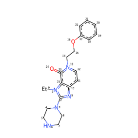 CCn1c(N2CCNCC2)nc2ccn(CCOc3ccccc3)c(=O)c21